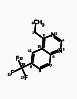 CCc1ncnc2ccc(C(F)(F)F)cc12